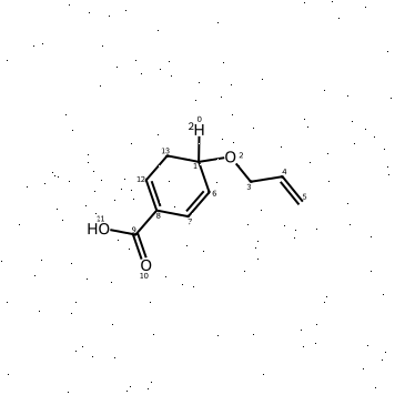 [2H]C1(OCC=C)C=CC(C(=O)O)=CC1